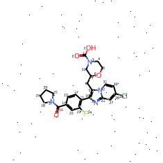 O=C(O)N1CCOC(Cc2c(-c3ccc(C(=O)N4CCCC4)cc3F)nc3cc(Cl)ccn23)C1